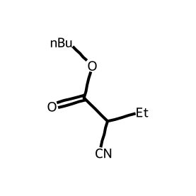 CCCCOC(=O)C(C#N)CC